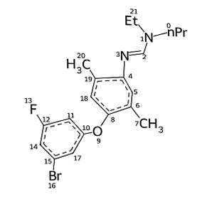 CCCN(C=Nc1cc(C)c(Oc2cc(F)cc(Br)c2)cc1C)CC